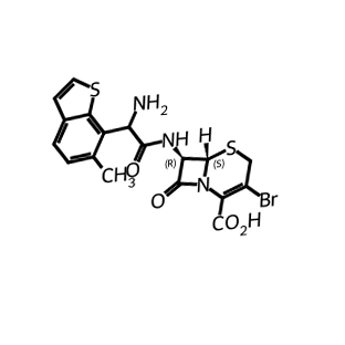 Cc1ccc2ccsc2c1C(N)C(=O)N[C@@H]1C(=O)N2C(C(=O)O)=C(Br)CS[C@@H]12